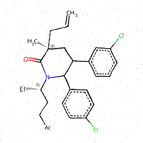 C=CC[C@@]1(C)CC(c2cccc(Cl)c2)C(c2ccc(Cl)cc2)N([C@@H](CC)CCC(C)=O)C1=O